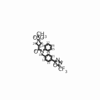 CS(=O)(=O)N1CC(C(=O)N(Cc2ccc(-c3nnc(C(F)(F)F)o3)cc2)c2ccccc2)C1